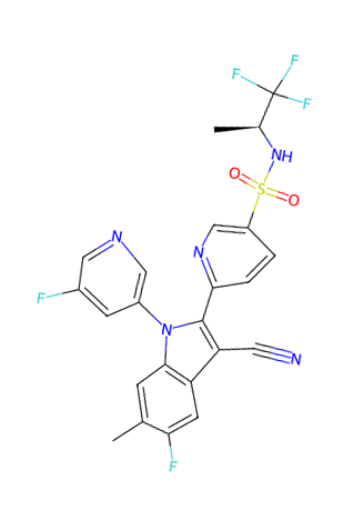 Cc1cc2c(cc1F)c(C#N)c(-c1ccc(S(=O)(=O)N[C@@H](C)C(F)(F)F)cn1)n2-c1cncc(F)c1